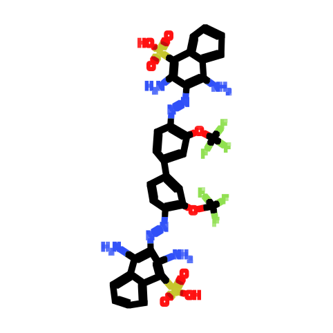 Nc1c(/N=N/c2ccc(-c3ccc(/N=N/c4c(N)c(S(=O)(=O)O)c5ccccc5c4N)c(OC(F)(F)F)c3)cc2OC(F)(F)F)c(N)c2ccccc2c1S(=O)(=O)O